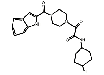 O=C(NC1CCC(O)CC1)C(=O)N1CCN(C(=O)c2cc3ccccc3[nH]2)CC1